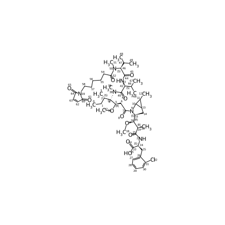 CC[C@H](C)[C@@H]([C@@H](CC(=O)N1C2C(C)C2C[C@H]1[C@H](OC)[C@@H](C)C(=O)N[C@@H](Cc1ccccc1Cl)C(=O)O)OC)N(C)C(=O)[C@@H](NC(=O)[C@H](C(C)C)N(C)C(=O)CCCCCN1C(=O)C=CC1=O)C(C)C